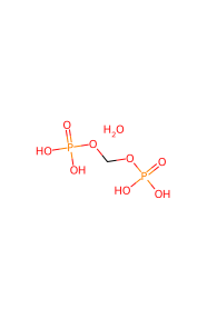 O.O=P(O)(O)OCOP(=O)(O)O